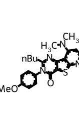 CCCCc1nc2c(sc3nccc(N(C)C)c32)c(=O)n1-c1ccc(OC)cc1